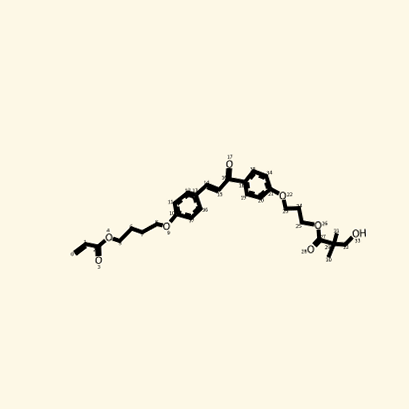 C=CC(=O)OCCCCOc1ccc(/C=C/C(=O)c2ccc(OCCCOC(=O)C(C)(C)CO)cc2)cc1